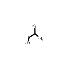 [2H]C([2H])CCC